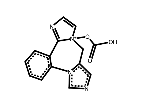 O=C(O)O[N+]12C=CN=C1c1ccccc1-n1cncc1C2